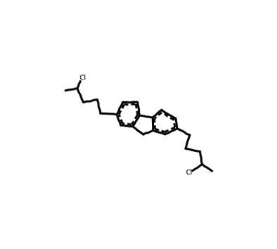 CC(Cl)CCCc1ccc2c(c1)Cc1cc(CCCC(C)Cl)ccc1-2